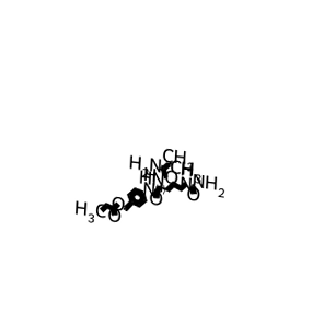 CCC(=O)OCc1ccc(NC(=O)[C@H](CCCNC(N)=O)NC(=O)C(N)C(C)C)cc1